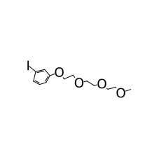 COCCOCCOCCOc1cccc(I)c1